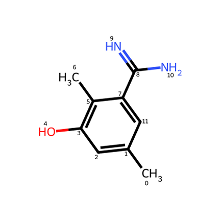 Cc1cc(O)c(C)c(C(=N)N)c1